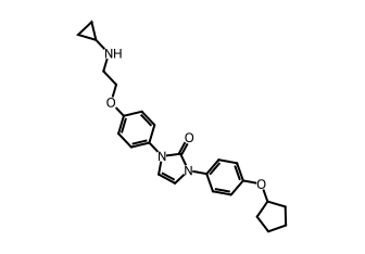 O=c1n(-c2ccc(OCCNC3CC3)cc2)ccn1-c1ccc(OC2CCCC2)cc1